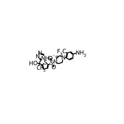 C[C@@H]1CN(c2ccc(N)cc2C(F)(F)F)CCN1S(=O)(=O)c1ccc(C(O)(c2nnc[nH]2)C(F)(F)F)s1